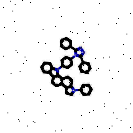 c1ccc(-c2nnc(-c3ccccc3)n2-c2ccc(-n3c4ccccc4c4ccc5c6ccn(-c7ccccc7)c6ccc5c43)cc2)cc1